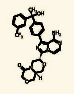 C[C@@](O)(c1ccc(-c2nc([C@H]3CN4C(=O)COC[C@@H]4CO3)n3ccnc(N)c23)cc1)c1cccc(C(F)(F)F)c1